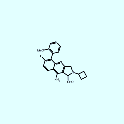 COc1cnccc1-c1c(F)ccc2c(N)c3c(nc12)CN(C1CCC1)C3C=O